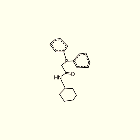 O=C(CP(c1ccccc1)c1ccccc1)NC1CCCCC1